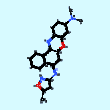 CCN(CC)c1ccc2nc3c4ccccc4/c(=N\c4cc(C)on4)cc-3oc2c1